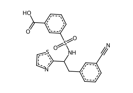 N#Cc1cccc(CC(NS(=O)(=O)c2cccc(C(=O)O)c2)c2nccs2)c1